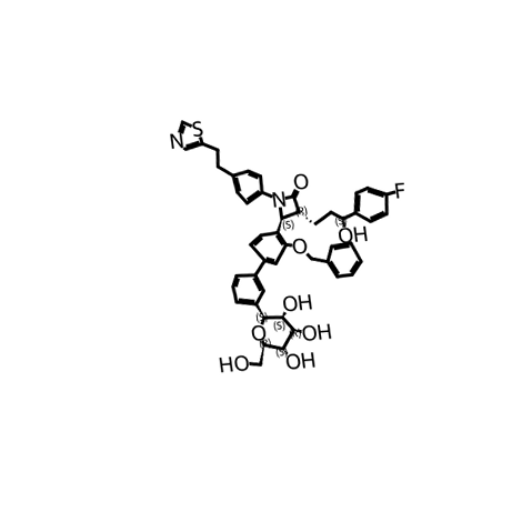 O=C1[C@H](CC[C@H](O)c2ccc(F)cc2)[C@@H](c2ccc(-c3cccc([C@@H]4O[C@H](CO)[C@@H](O)[C@H](O)[C@@H]4O)c3)cc2OCc2ccccc2)N1c1ccc(CCc2cncs2)cc1